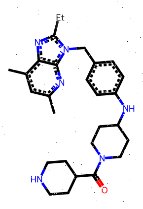 CCc1nc2c(C)cc(C)nc2n1Cc1ccc(NC2CCN(C(=O)C3CCNCC3)CC2)cc1